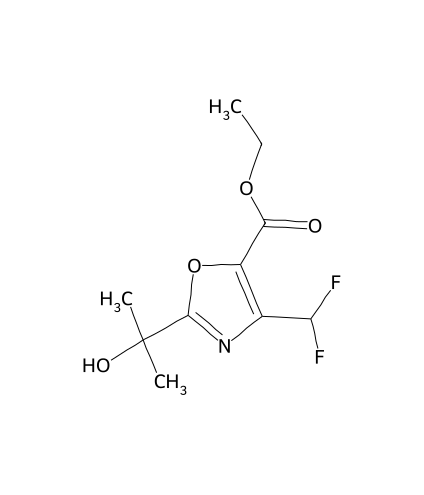 CCOC(=O)c1oc(C(C)(C)O)nc1C(F)F